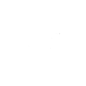 COC(=O)CC(C)c1cc(Cl)ccc1Cl